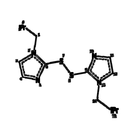 CC(C)Cn1ccnc1SSc1nccn1CC(C)C